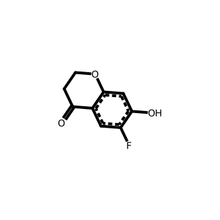 O=C1CCOc2cc(O)c(F)cc21